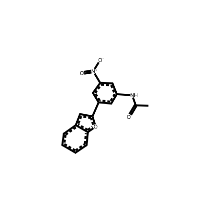 CC(=O)Nc1cc(-c2cc3ccccc3o2)cc([N+](=O)[O-])c1